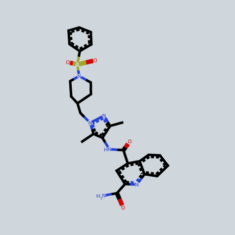 Cc1nn(CC2CCN(S(=O)(=O)c3ccccc3)CC2)c(C)c1NC(=O)c1cc(C(N)=O)nc2ccccc12